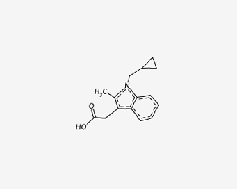 Cc1c(CC(=O)O)c2ccccc2n1CC1CC1